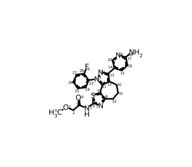 COCC(=O)Nc1nc2c(s1)-c1c(c(-c3ccc(N)nc3)nn1-c1ccccc1F)CCC2